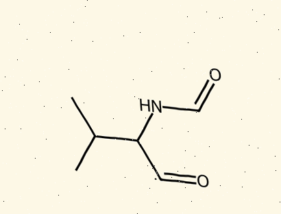 CC(C)C([C]=O)NC=O